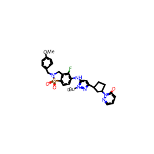 COc1ccc(CN2Cc3c(ccc(Nc4cc(C5CCC(n6ncccc6=O)C5)nn4C(C)(C)C)c3F)S2(=O)=O)cc1